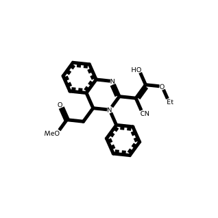 CCO/C(O)=C(\C#N)C1=Nc2ccccc2C(CC(=O)OC)N1c1ccccc1